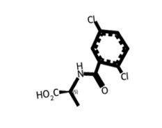 C[C@H](NC(=O)c1cc(Cl)ccc1Cl)C(=O)O